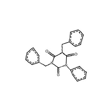 O=C1C(Cc2ccccc2)C(=O)N(c2ccccc2)C(=O)N1Cc1ccccc1